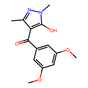 COc1cc(OC)cc(C(=O)c2c(C)nn(C)c2O)c1